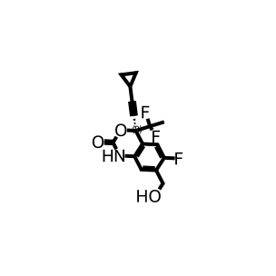 CC(F)(F)[C@]1(C#CC2CC2)OC(=O)Nc2cc(CO)c(F)cc21